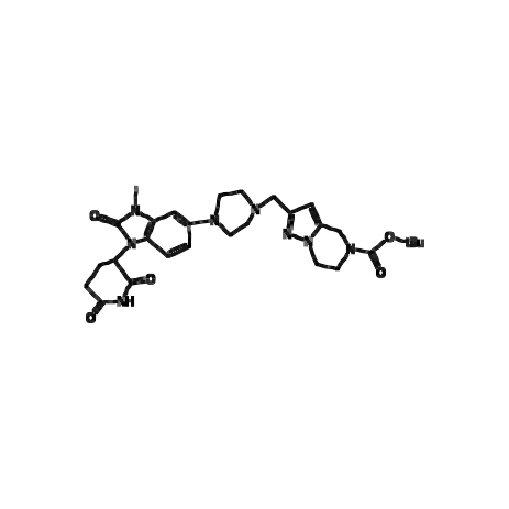 Cn1c(=O)n(C2CCC(=O)NC2=O)c2ccc(N3CCN(Cc4cc5n(n4)CCN(C(=O)OC(C)(C)C)C5)CC3)cc21